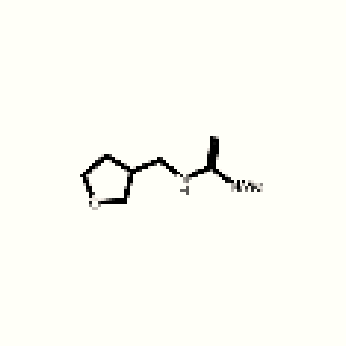 C=C(NC)NCC1CCOC1